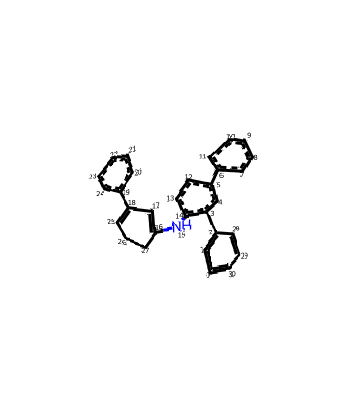 C1=C=C(c2cc(-c3ccccc3)ccc2NC2=CC(c3ccccc3)=CCC2)C=CC=1